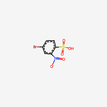 O=[N+]([O-])c1cc(Br)ccc1S(=O)(=O)O